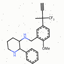 C#CC(C)(c1ccc(OC)c(CNC2CCCNC2c2ccccc2)c1)C(F)(F)F